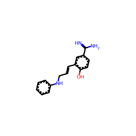 N=C(N)c1ccc(O)c(/C=C/CNc2ccccc2)c1